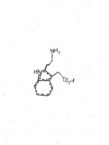 NCCc1[nH]c2ccccc2c1CC(=O)O